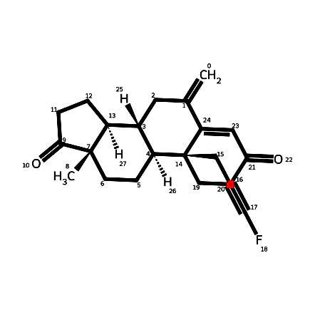 C=C1C[C@@H]2[C@H](CC[C@]3(C)C(=O)CC[C@@H]23)[C@@]2(CC#CF)CCC(=O)C=C12